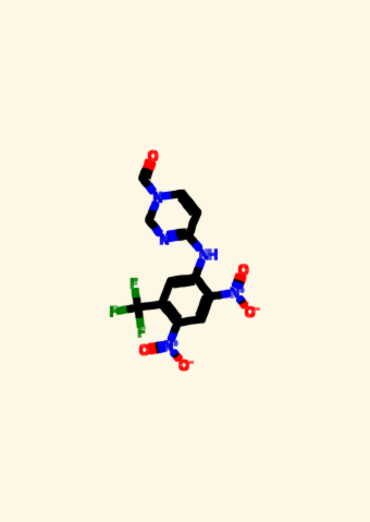 O=CN1C=CC(Nc2cc(C(F)(F)F)c([N+](=O)[O-])cc2[N+](=O)[O-])=NC1